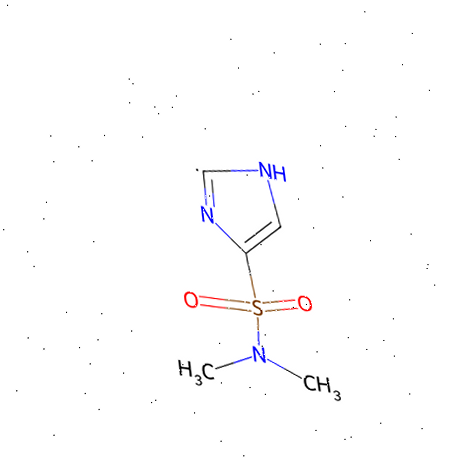 CN(C)S(=O)(=O)c1c[nH][c]n1